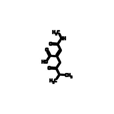 CNC(=O)/C=C(/CC(=O)C(C)C)C(=O)O